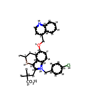 CC1Cc2c(OCc3ccnc4ccccc34)ccc3c2c(c(CC(C)(C)C(=O)O)n3Cc2ccc(Cl)cc2)S1